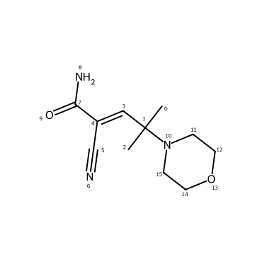 CC(C)(/C=C(\C#N)C(N)=O)N1CCOCC1